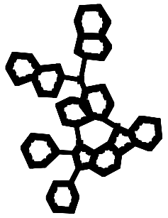 c1ccc(-c2c(-c3ccccc3)n(-c3ccccc3)c3c2ccc2c4ccccc4n(-c4ccc(N(c5ccc6ccccc6c5)c5ccc6ccccc6c5)cc4)c23)cc1